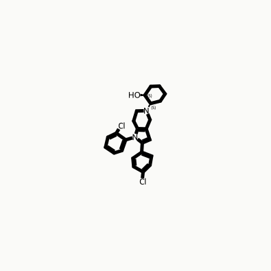 O[C@H]1CCCC[C@@H]1N1CCc2c(cc(-c3ccc(Cl)cc3)n2-c2ccccc2Cl)C1